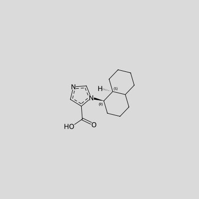 O=C(O)c1cncn1[C@@H]1CCCC2CCCC[C@@H]21